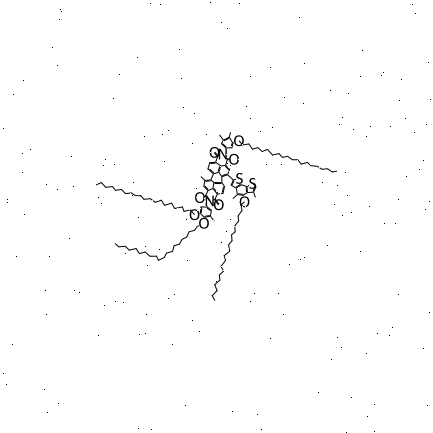 CCCCCCCCCCCCCCCCCCCCOc1cc(N2C(=O)c3ccc4c5c(C)cc6c7c(ccc(c8c(-c9cc%10c(C)c(OCCCCCCCCCCCCCCCCCCCC)c%11c(C)csc%11c%10s9)cc(c3c48)C2=O)c75)C(=O)N(c2cc(C)c(OCCCCCCCCCCCCCCCCCCCC)c(OCCCCCCCCCCCCCCCCCCCC)c2)C6=O)cc(C)c1C